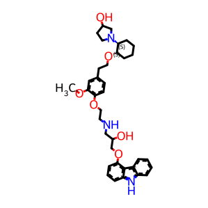 COc1cc(CCO[C@H]2CCCC[C@@H]2N2CCC(O)C2)ccc1OCCNCC(O)COc1cccc2[nH]c3ccccc3c12